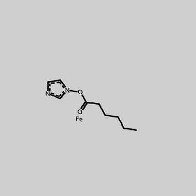 CCCCCC(=O)On1ccnc1.[Fe]